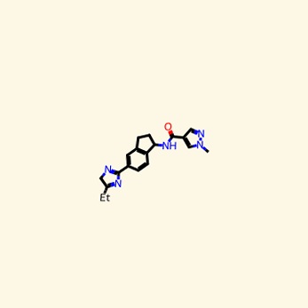 CCC1=NC(c2ccc3c(c2)CCC3NC(=O)c2cnn(C)c2)=NC1